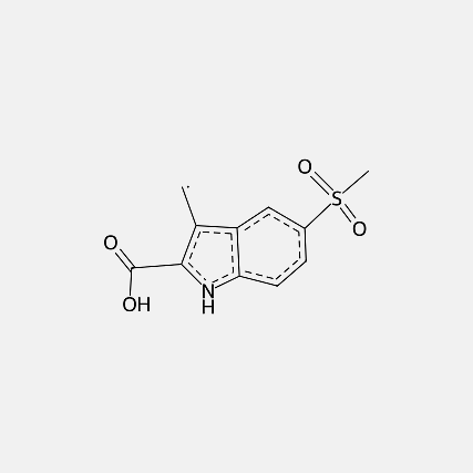 [CH2]c1c(C(=O)O)[nH]c2ccc(S(C)(=O)=O)cc12